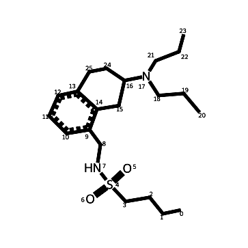 CCCCS(=O)(=O)NCc1cccc2c1CC(N(CCC)CCC)CC2